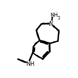 CNc1ccc2c(c1)CCN(N)CC2